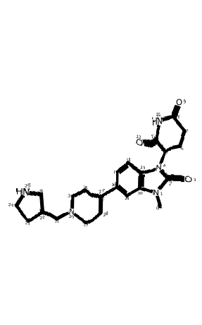 Cn1c(=O)n(C2CCC(=O)NC2=O)c2ccc(C3CCN(CC4CCNC4)CC3)cc21